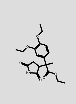 CCOC(=O)C(C)(c1ccc(OCC)c(OCC)c1)C1CC(=O)NC1=O